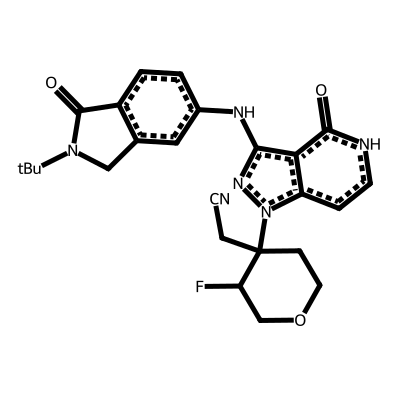 CC(C)(C)N1Cc2cc(Nc3nn(C4(CC#N)CCOCC4F)c4cc[nH]c(=O)c34)ccc2C1=O